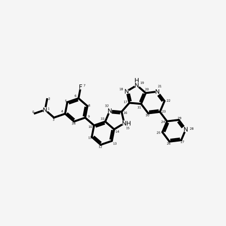 CN(C)Cc1cc(F)cc(-c2cccc3[nH]c(-c4n[nH]c5ncc(-c6cccnc6)cc45)nc23)c1